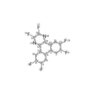 Fc1cc2c3cc(F)c(F)cc3c3nc(F)c(F)nc3c2cc1F